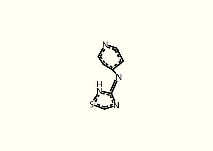 c1cc(N=c2ncs[nH]2)ccn1